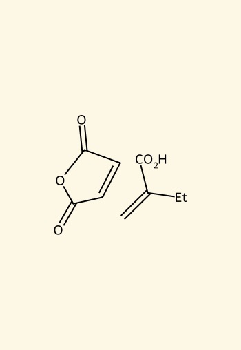 C=C(CC)C(=O)O.O=C1C=CC(=O)O1